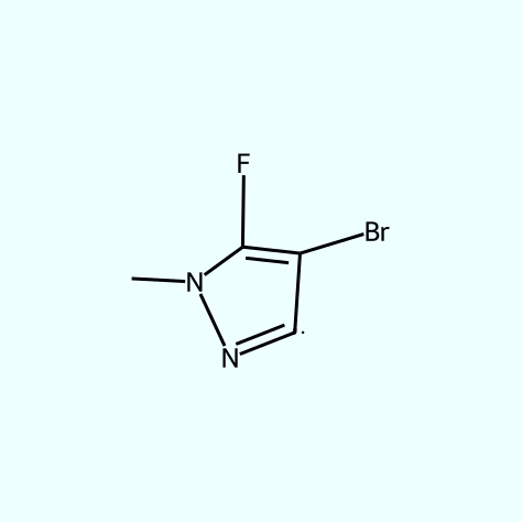 Cn1n[c]c(Br)c1F